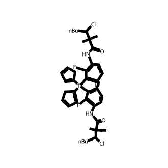 CCCCC(Cl)C(C)(C)C(=O)Nc1ccc(F)[c]([Ti]([C]2=CC=CC2)([C]2=CC=CC2)[c]2c(F)ccc(NC(=O)C(C)(C)C(Cl)CCCC)c2F)c1F